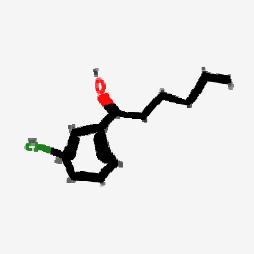 CCCCCC(=O)c1cccc(Cl)c1